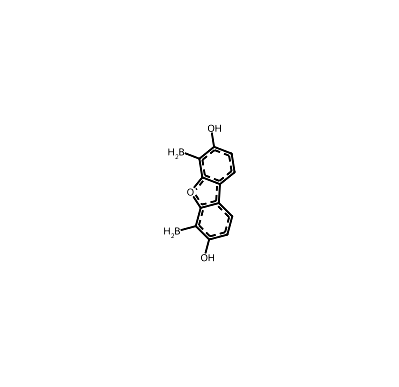 Bc1c(O)ccc2c1oc1c(B)c(O)ccc12